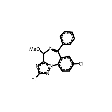 CCc1nc2n(n1)-c1ccc(Cl)cc1C(c1ccccc1)=NC2OC